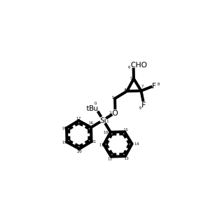 CC(C)(C)[Si](OCC1C(C=O)C1(F)F)(c1ccccc1)c1ccccc1